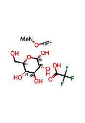 CCCONC.O=C(O)C(F)(F)F.OC[C@H]1O[C@@H](O)[C@H](O)[C@@H](O)[C@@H]1O